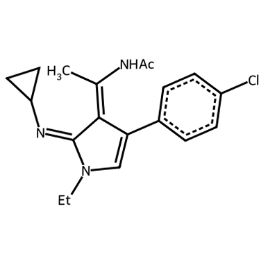 CCN1C=C(c2ccc(Cl)cc2)C(=C(/C)NC(C)=O)/C1=N\C1CC1